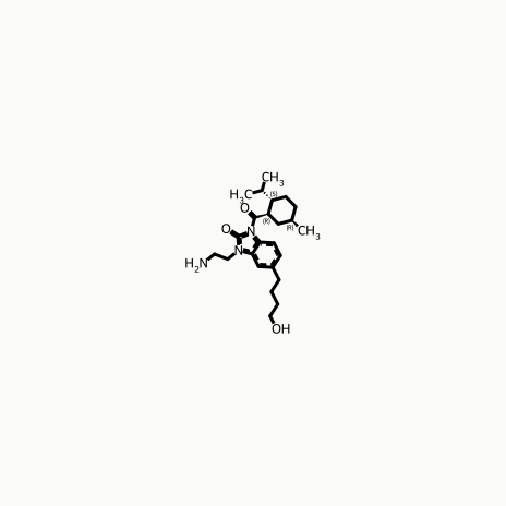 CC(C)[C@@H]1CC[C@@H](C)C[C@H]1C(=O)n1c(=O)n(CCN)c2cc(CCCCO)ccc21